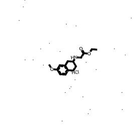 CCOC(=O)CNC1CCc2ccc(OC)cc2C1.Cl